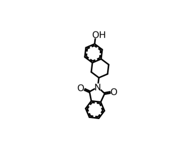 O=C1c2ccccc2C(=O)N1C1CCc2cc(O)ccc2C1